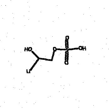 [Li][CH](O)COS(=O)(=O)O